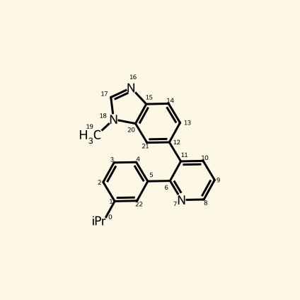 CC(C)c1cccc(-c2ncccc2-c2ccc3ncn(C)c3c2)c1